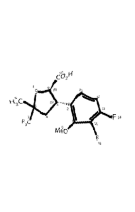 COc1c([C@@H]2CC(C)(C(F)(F)F)S[C@H]2C(=O)O)ccc(F)c1F